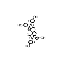 O=C1OC2(c3ccc(O)cc3Oc3cc(O)ccc32)c2cccc(-c3cccc4c3C(=O)OC43c4ccc(O)cc4Oc4cc(O)ccc43)c21